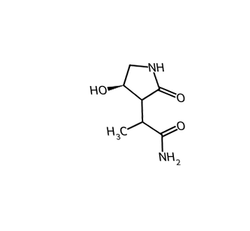 CC(C(N)=O)C1C(=O)NC[C@@H]1O